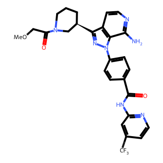 COCC(=O)N1CCC[C@@H](c2nn(-c3ccc(C(=O)Nc4cc(C(F)(F)F)ccn4)cc3)c3c(N)nccc23)C1